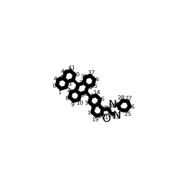 c1ccc2c(-c3c4ccccc4c(-c4ccc5c(ccc6oc7nc8ccccc8nc7c65)c4)c4ccccc34)cccc2c1